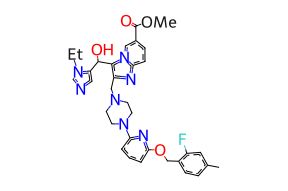 CCn1cncc1C(O)c1c(CN2CCN(c3cccc(OCc4ccc(C)cc4F)n3)CC2)nc2ccc(C(=O)OC)cn12